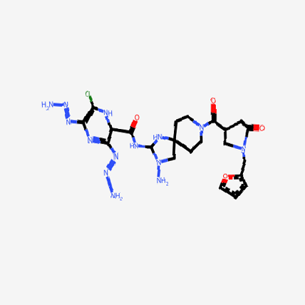 NN=NC1=NC(N=NN)=C(Cl)NC1C(=O)NC1NC2(CCN(C(=O)C3CC(=O)N(Cc4ccco4)C3)CC2)CN1N